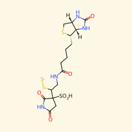 O=C(CCCC[C@@H]1SC[C@@H]2NC(=O)N[C@@H]21)NCC(S[S])C1(S(=O)(=O)O)CC(=O)NC1=O